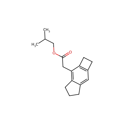 CC(C)COC(=O)Cc1c2c(cc3c1CC3)CCC2